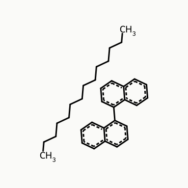 CCCCCCCCCCCCCC.c1ccc2c(-c3cccc4ccccc34)cccc2c1